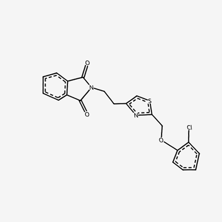 O=C1c2ccccc2C(=O)N1CCc1csc(COc2ccccc2Cl)n1